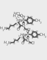 C=O.Cc1ccc(S(=O)(=O)N[C@@H](CCCCN)C(=O)OCCl)cc1.Cc1ccc(S(=O)(=O)N[C@@H](CCCCN)C(=O)OCCl)cc1.Cl